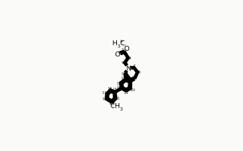 COC(=O)CCN1CCC2CC1c1cc(-c3cccc(C)c3)ccc12